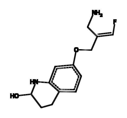 NC/C(=C\F)COc1ccc2c(c1)NC(O)CC2